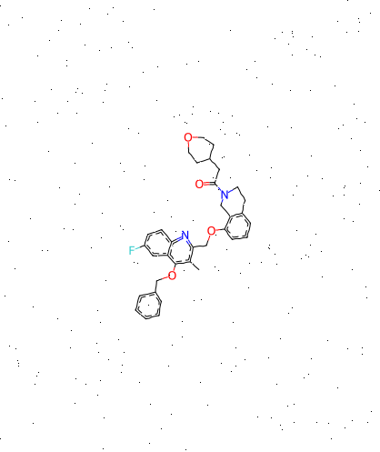 Cc1c(COc2cccc3c2CN(C(=O)CC2CCOCC2)CC3)nc2ccc(F)cc2c1OCc1ccccc1